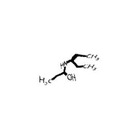 CC[C](O)NC(CC)CC